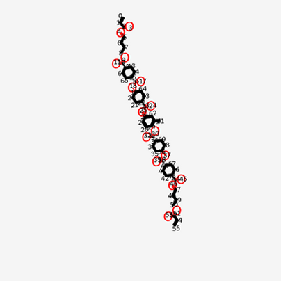 C=CC(=O)OCCCCOC(=O)[C@H]1CC[C@H](C(=O)O[C@H]2CC[C@H](C(=O)Oc3ccc(OC(=O)[C@H]4CC[C@H](OC(=O)[C@H]5CC[C@H](C(=O)OCCCCOC(=O)C=C)CC5)CC4)c(C)c3)CC2)CC1